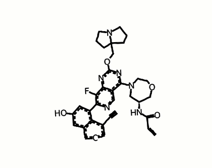 C#Cc1cccc2cc(O)cc(-c3ncc4c(N5CCOC[C@@H](NC(=O)C=C)C5)nc(OCC56CCCN5CCC6)nc4c3F)c12